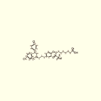 CN(CCCc1ccc(OC(CCCCCCC(=O)O)C(=O)C(F)(F)F)cc1)CC(c1ccc(Cl)cc1)c1ccc(Cl)cc1